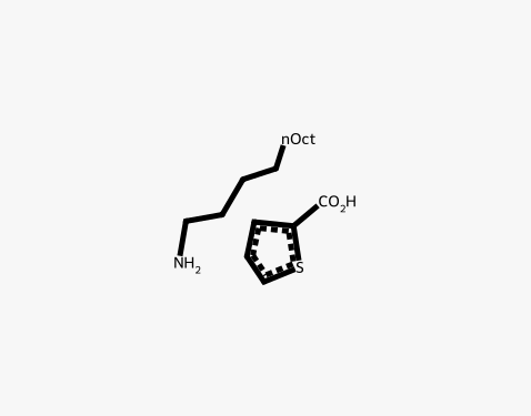 CCCCCCCCCCCCN.O=C(O)c1cccs1